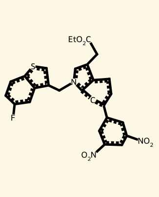 CCOC(=O)Cc1cn(Cc2csc3ccc(F)cc23)c2cc(-c3cc([N+](=O)[O-])cc([N+](=O)[O-])c3)ccc12